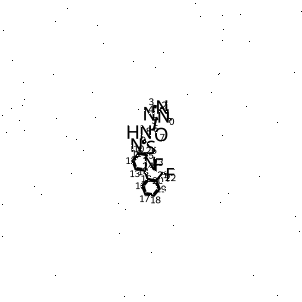 Cn1ncnc1C(=O)Nc1nc2ccc(-c3ccccc3C(F)F)nc2s1